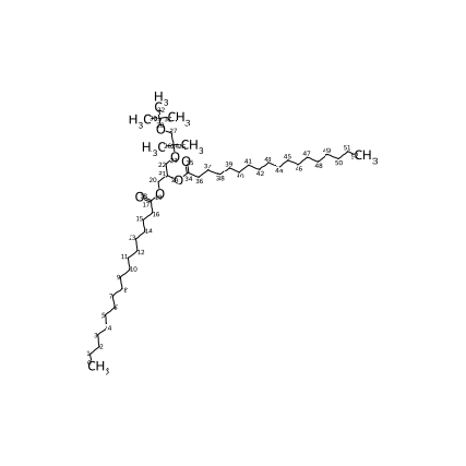 CCCCCCCCCCCCCCCCCC(=O)OCC(COC(C)(C)COC(C)(C)C)OC(=O)CCCCCCCCCCCCCCCCC